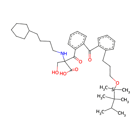 CC(C)C(C)(C)[Si](C)(C)OCCCc1ccccc1C(=O)c1ccccc1C(=O)C(CO)(NCCCCC1CCCCC1)C(=O)O